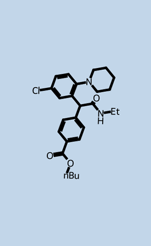 CCCCOC(=O)c1ccc(C(C(=O)NCC)c2cc(Cl)ccc2N2CCCCC2)cc1